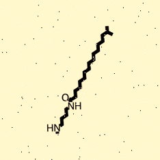 CNCCCCNC(=O)CCCCCCCCCCCCCCC(C)C